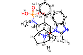 Cc1nc2ccccc2n1C1C[C@H]2CC[C@@H](C1)N2C(C)CC(CN(C)P(=O)(O)O)c1ccccc1